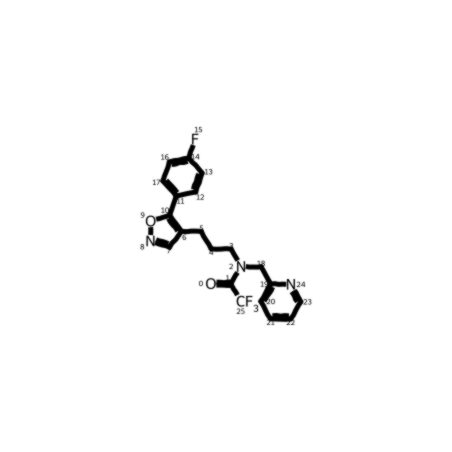 O=C(N(CCCc1cnoc1-c1ccc(F)cc1)Cc1ccccn1)C(F)(F)F